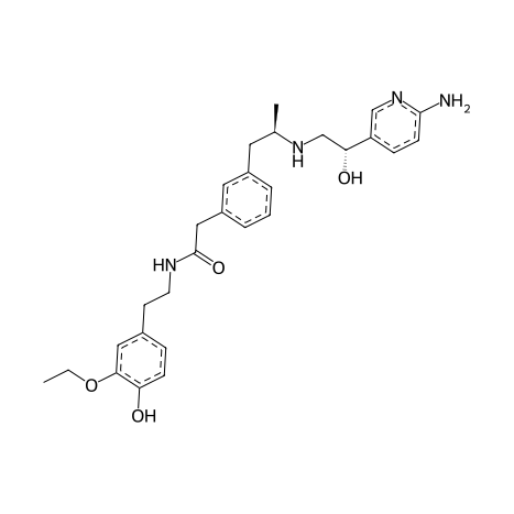 CCOc1cc(CCNC(=O)Cc2cccc(C[C@@H](C)NC[C@@H](O)c3ccc(N)nc3)c2)ccc1O